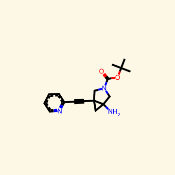 CC(C)(C)OC(=O)N1CC2(N)CC2(C#Cc2ccccn2)C1